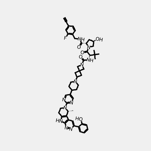 C#Cc1ccc(CNC(=O)[C@@H]2C[C@@H](O)CN2C(=O)[C@@H](NC(=O)N2CC3(CC(N4CCC(c5cnc(N6CCc7[nH]c8nnc(-c9ccccc9O)cc8c7[C@H]6C)nc5)CC4)C3)C2)C(C)(C)C)c(F)c1